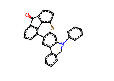 O=C1c2cccc(Br)c2-c2c1cccc2-c1ccc2c(c1)-c1ccccc1CN2c1ccccc1